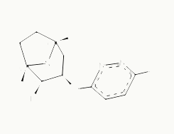 F[C@H]1[C@@H]2CC[C@H](C[C@H]1Oc1ccc(Cl)nn1)N2